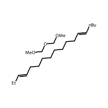 CC/C=C/CCCCCCCC/C=C/CCCC.COCOCOC